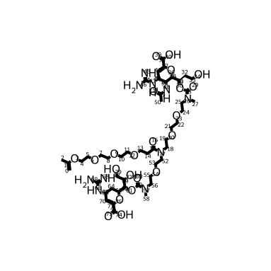 C=C(C)OCCOCCOCCOCCC(=O)N(CCOCCOCCN(C)C(=O)O[C@H](CCO)[C@@H]1OC(C(=O)O)=C[C@H](NC(=N)N)[C@H]1NC(C)=O)CCOCCN(C)C(=O)O[C@@H](C1C[C@@H](NC(=N)N)C=C(C(=O)O)O1)[C@H](O)CO